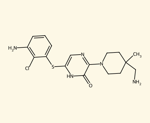 CC1(CN)CCN(c2ncc(Sc3cccc(N)c3Cl)[nH]c2=O)CC1